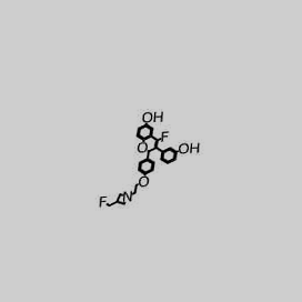 Oc1cccc(C2=C(F)c3cc(O)ccc3OC2c2ccc(OCCN3CC(CF)C3)cc2)c1